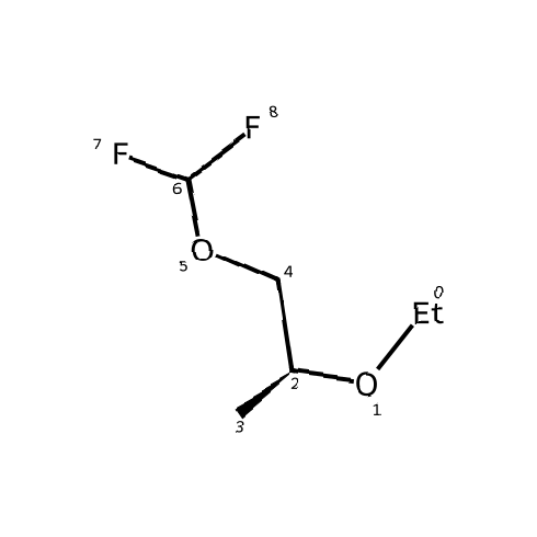 CCO[C@@H](C)COC(F)F